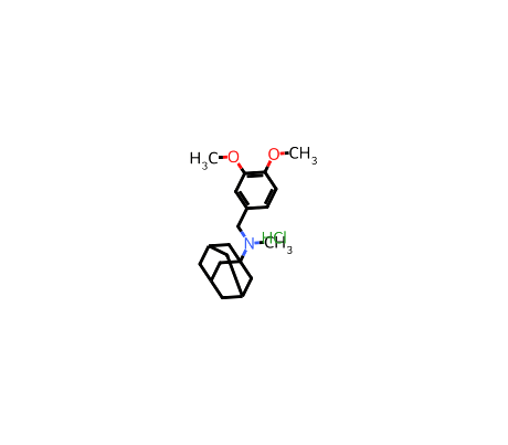 COc1ccc(CN(C)C23CC4CC(CC(C4)C2)C3)cc1OC.Cl